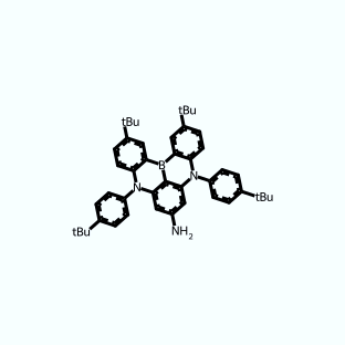 CC(C)(C)c1ccc(N2c3ccc(C(C)(C)C)cc3B3c4cc(C(C)(C)C)ccc4N(c4ccc(C(C)(C)C)cc4)c4cc(N)cc2c43)cc1